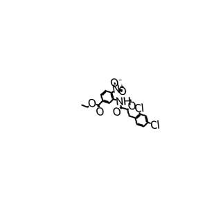 CCOC(=O)c1ccc([N+](=O)[O-])c(NC(=O)C(Cc2ccc(Cl)cc2Cl)OC)c1